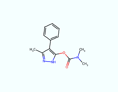 Cc1n[nH]c(OC(=O)N(C)C)c1-c1ccccc1